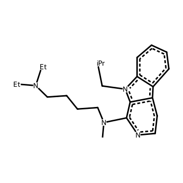 CCN(CC)CCCCN(C)c1nccc2c3ccccc3n(CC(C)C)c12